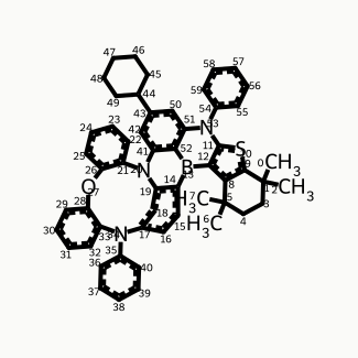 CC1(C)CCC(C)(C)c2c1sc1c2B2c3ccc4cc3N(c3ccccc3Oc3ccccc3N4c3ccccc3)c3cc(C4CCCCC4)cc(c32)N1c1ccccc1